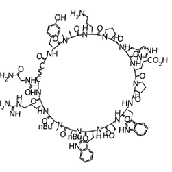 CCCC[C@H]1C(=O)N(C)[C@@H](CCCC)C(=O)N[C@@H](CCCNC(=N)N)C(=O)N[C@H](C(=O)NCC(N)=O)CSCC(=O)N[C@@H](Cc2ccc(O)cc2)C(=O)N(C)[C@@H](C)C(=O)N[C@@H](CCCN)C(=O)N2CCC[C@H]2C(=O)N[C@@H](Cc2c[nH]cn2)C(=O)N[C@@H](CCC(=O)O)C(=O)N2CCC[C@H]2C(=O)N[C@@H](Cc2c[nH]c3ccccc23)C(=O)N[C@@H](CO)C(=O)N[C@@H](Cc2c[nH]c3ccccc23)C(=O)N1C